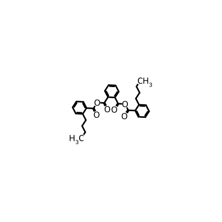 CCCCc1ccccc1C(=O)OC(=O)c1ccccc1C(=O)OC(=O)c1ccccc1CCCC